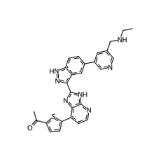 CCNCc1cncc(-c2ccc3[nH]nc(-c4nc5c(-c6ccc(C(C)=O)s6)ccnc5[nH]4)c3c2)c1